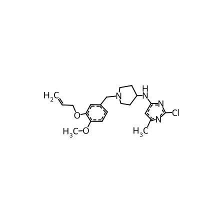 C=CCOc1cc(CN2CCC(Nc3cc(C)nc(Cl)n3)CC2)ccc1OC